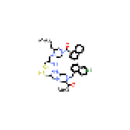 COC(=O)C1CN(CC(N)CS)CCN1Cc1cccc2ccccc12.COCCC1CN(C(=O)c2cccc3ccccc23)CCN1CC(N)CS.Cl